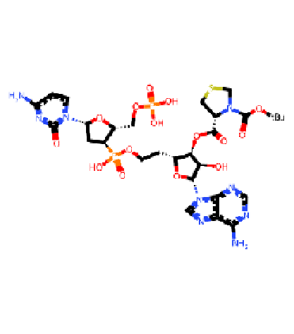 CC(C)(C)OC(=O)N1CSC[C@H]1C(=O)O[C@H]1[C@@H](O)[C@H](n2cnc3c(N)ncnc32)O[C@@H]1CCOP(=O)(O)[C@H]1C[C@H](n2ccc(N)nc2=O)O[C@@H]1COP(=O)(O)O